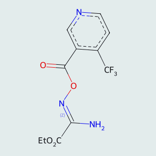 CCOC(=O)/C(N)=N/OC(=O)c1cnccc1C(F)(F)F